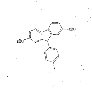 Cc1ccc(C2c3cc(C(C)(C)C)ccc3-c3ccc(C(C)(C)C)cc32)cc1